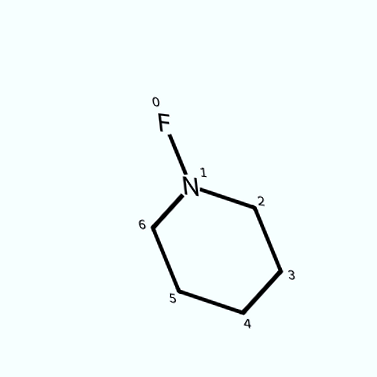 FN1CCCCC1